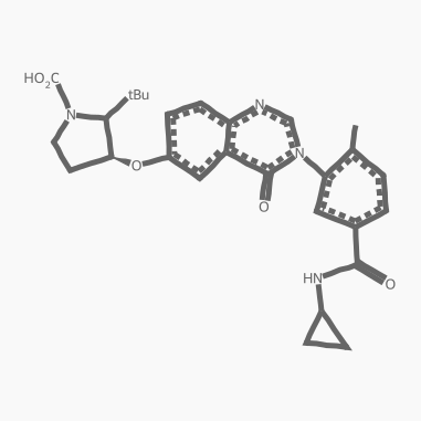 Cc1ccc(C(=O)NC2CC2)cc1-n1cnc2ccc(O[C@H]3CCN(C(=O)O)C3C(C)(C)C)cc2c1=O